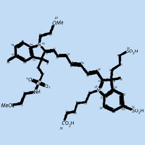 COCCNS(=O)(=O)CCC1(C)\C(=C/C=C/C=C/C=C/C2=[N+](CCCCCC(=O)O)c3ccc(S(=O)(=O)O)cc3C2(C)CCCS(=O)(=O)O)N(CCOC)c2ccc(C)cc21